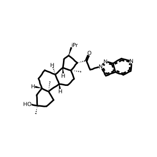 CC(C)[C@@H]1C[C@H]2[C@@H]3CC[C@H]4C[C@](C)(O)CC[C@]4(C)[C@H]3CC[C@]2(C)[C@H]1C(=O)Cn1cc2ccncc2n1